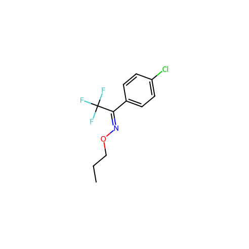 CCCON=C(c1ccc(Cl)cc1)C(F)(F)F